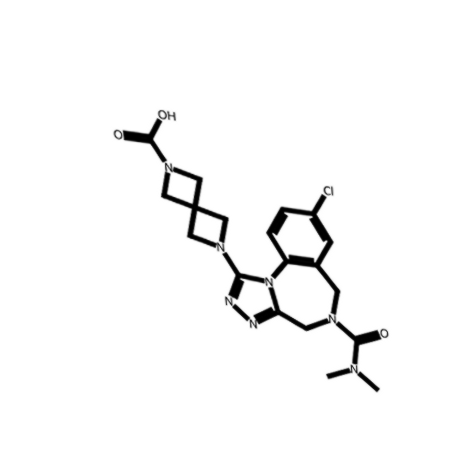 CN(C)C(=O)N1Cc2cc(Cl)ccc2-n2c(nnc2N2CC3(CN(C(=O)O)C3)C2)C1